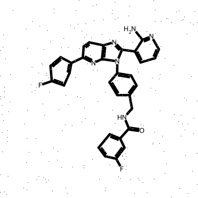 Nc1ncccc1-c1nc2ccc(-c3ccc(F)cc3)nc2n1-c1ccc(CNC(=O)c2cccc(F)c2)cc1